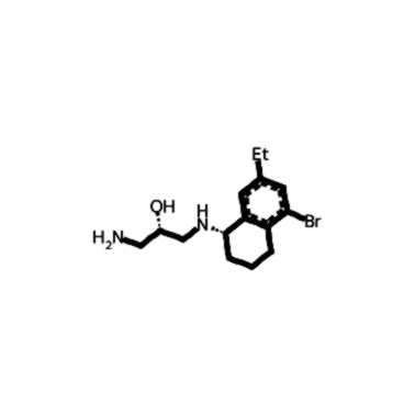 CCc1cc(Br)c2c(c1)[C@@H](NC[C@@H](O)CN)CCC2